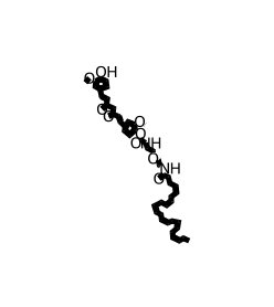 CC/C=C\C/C=C\C/C=C\C/C=C\C/C=C\C/C=C\CCC(=O)NCCOCCNC(=O)Oc1ccc(/C=C/C(=O)CC(=O)/C=C/c2ccc(O)c(OC)c2)cc1OC